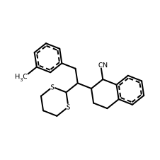 Cc1cccc(CC(C2SCCCS2)C2CCc3ccccc3C2C#N)c1